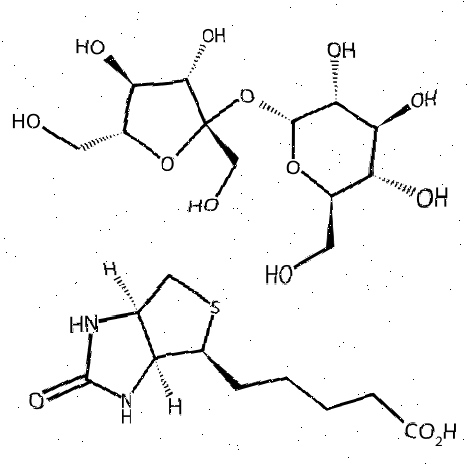 O=C(O)CCCC[C@@H]1SC[C@@H]2NC(=O)N[C@@H]21.OC[C@H]1O[C@@](CO)(O[C@H]2O[C@H](CO)[C@@H](O)[C@H](O)[C@H]2O)[C@@H](O)[C@@H]1O